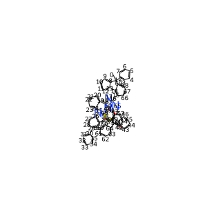 CC1(c2ccccc2)c2ccccc2-c2c(-c3nc(-c4ccccc4-n4c5ccc(-c6ccccc6)cc5c5cc(-c6ccccc6)ccc54)nc(-c4cccc5c4sc4ccccc45)n3)cccc21